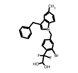 Cc1ccc2c(c1)c(Cc1ccccc1)cn2Cc1ccc(C(F)(F)C(O)O)c(Br)c1